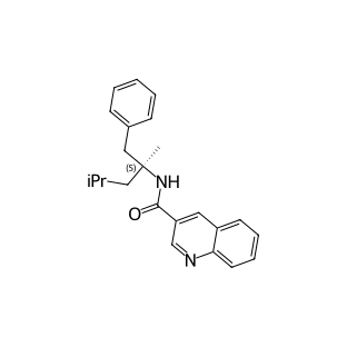 CC(C)C[C@@](C)(Cc1ccccc1)NC(=O)c1cnc2ccccc2c1